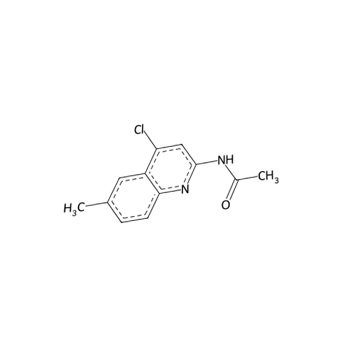 CC(=O)Nc1cc(Cl)c2cc(C)ccc2n1